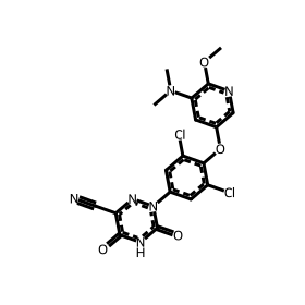 COc1ncc(Oc2c(Cl)cc(-n3nc(C#N)c(=O)[nH]c3=O)cc2Cl)cc1N(C)C